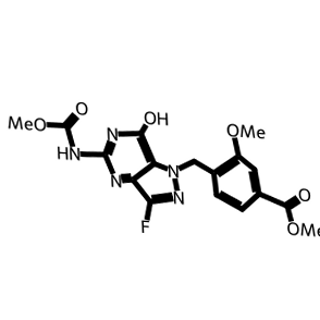 COC(=O)Nc1nc(O)c2c(n1)c(F)nn2Cc1ccc(C(=O)OC)cc1OC